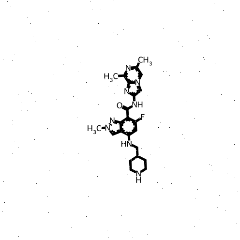 Cc1cn2cc(NC(=O)c3c(F)cc(NCC4CCNCC4)c4cn(C)nc34)nc2c(C)n1